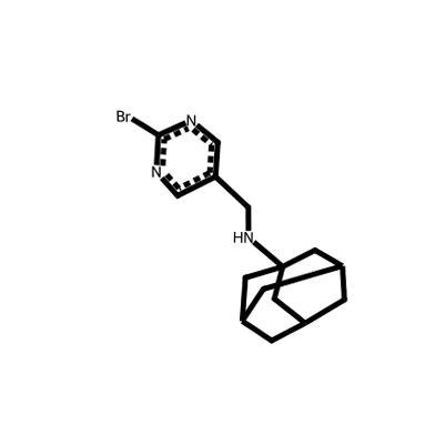 Brc1ncc(CNC23CC4CC(CC(C4)C2)C3)cn1